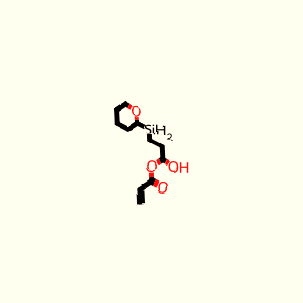 C=CC(=O)OC(O)CC[SiH2]C1CCCCO1